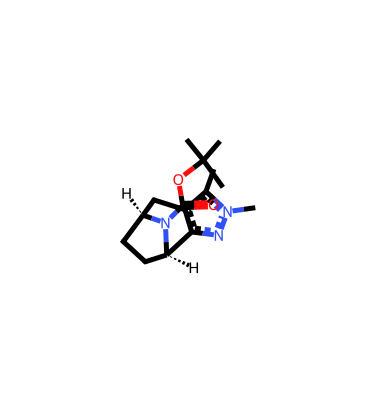 Cc1c2c(nn1C)[C@H]1CC[C@@H](C2)N1C(=O)OC(C)(C)C